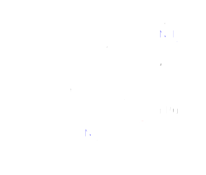 CCCCOc1c(CN)ccc2cccnc12